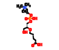 C[N+](C)(C)CCOP(=O)(O)OC[C@@H](CO)OCCCCC(=O)O